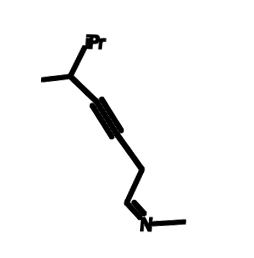 C/N=C\CC#CC(C)C(C)C